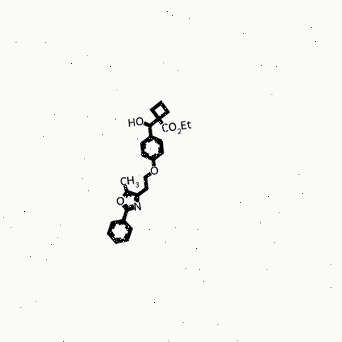 CCOC(=O)C1(C(O)c2ccc(OCCc3nc(-c4ccccc4)oc3C)cc2)CCC1